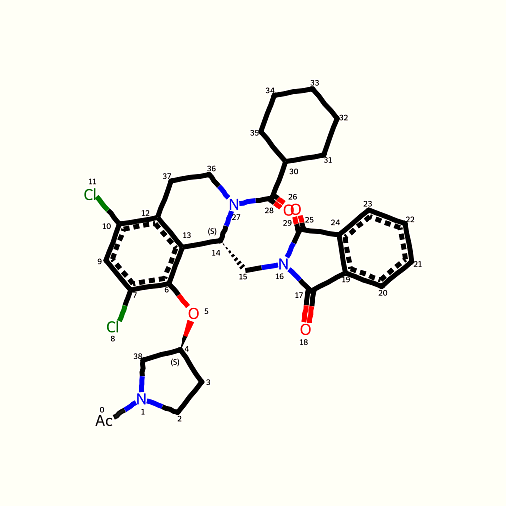 CC(=O)N1CC[C@H](Oc2c(Cl)cc(Cl)c3c2[C@@H](CN2C(=O)c4ccccc4C2=O)N(C(=O)C2CCCCC2)CC3)C1